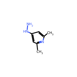 Cc1cc(NN)cc(C)n1